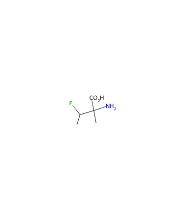 CC(F)C(C)(N)C(=O)O